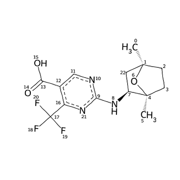 C[C@]12CC[C@](C)(O1)[C@@H](Nc1ncc(C(=O)O)c(C(F)(F)F)n1)C2